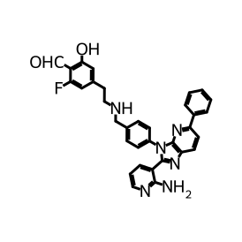 Nc1ncccc1-c1nc2ccc(-c3ccccc3)nc2n1-c1ccc(CNCCc2cc(O)c(C=O)c(F)c2)cc1